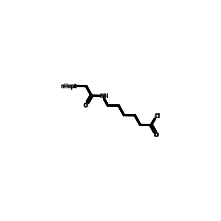 CCCCCCCCC(=O)NCCCCCC(=O)Cl